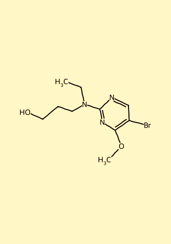 CCN(CCCO)c1ncc(Br)c(OC)n1